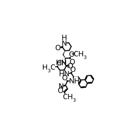 COC(=O)[C@H](C[C@@H]1CCCNC1=O)NC(=O)C(CC(C)C)NC(=O)[C@H](Cc1cccc2ccccc12)NC(=O)c1cc(C)on1